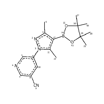 Cc1nn(-c2cncc(C#N)c2)c(C)c1B1OC(C)(C)C(C)(C)O1